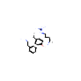 N=C(N)NCCC[C@@H](N)C(=O)O.NCCc1ccccc1.O=C(O)Cc1ccc(O)cc1